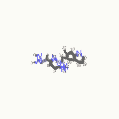 C=NN(C)/C=C(\C)c1ccc2nnc(Cc3cc4cccnc4cc3C)n2n1